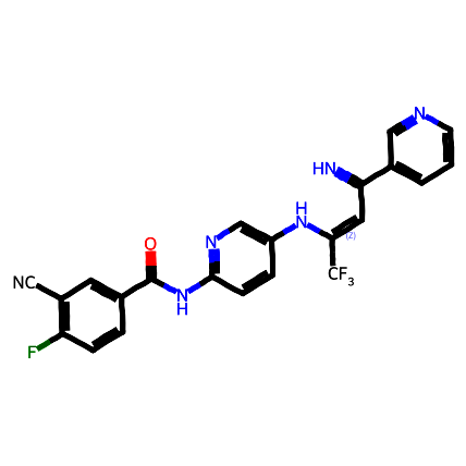 N#Cc1cc(C(=O)Nc2ccc(N/C(=C\C(=N)c3cccnc3)C(F)(F)F)cn2)ccc1F